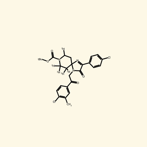 [2H]C1CC2(N=C(c3ccc(Cl)cc3)C(=O)N2CC(=O)c2ccc(Cl)c(C)c2)C([2H])([2H])C([2H])([2H])N1C(=O)OC(C)(C)C